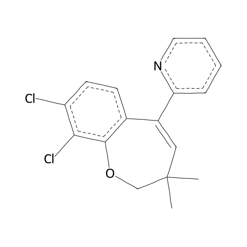 CC1(C)C=C(c2ccccn2)c2ccc(Cl)c(Cl)c2OC1